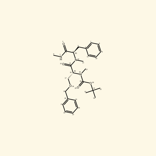 CNC(=O)[C@@H](Cc1ccccc1)N(C)C(=O)[C@@H](COCc1ccccc1)N(C)C(=O)OC(C)(C)C